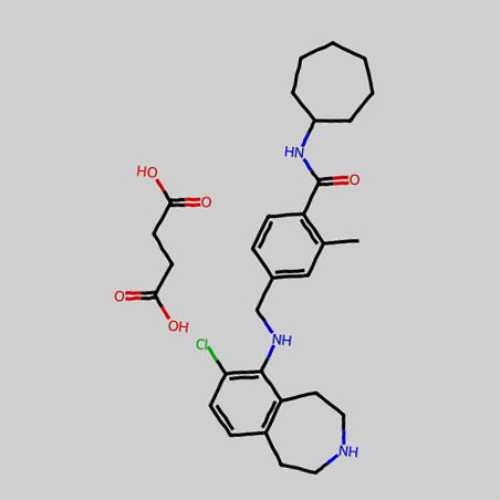 Cc1cc(CNc2c(Cl)ccc3c2CCNCC3)ccc1C(=O)NC1CCCCCC1.O=C(O)CCC(=O)O